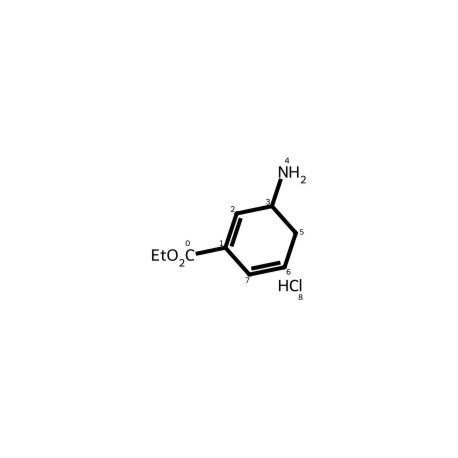 CCOC(=O)C1=CC(N)CC=C1.Cl